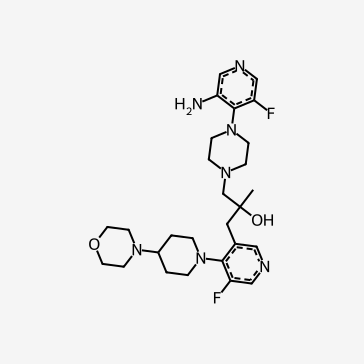 CC(O)(Cc1cncc(F)c1N1CCC(N2CCOCC2)CC1)CN1CCN(c2c(N)cncc2F)CC1